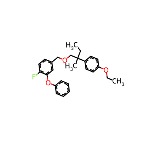 CCOc1ccc(C(C)(CC)COCc2ccc(F)c(Oc3ccccc3)c2)cc1